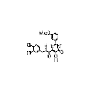 COc1cccc(-c2nc(C(=O)NCc3ccc(Cl)c(Cl)c3)c(O)c(=O)n2C)c1